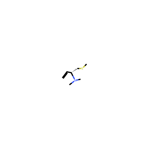 C=C[C@H](CSC)N(C)C